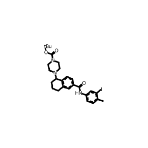 Cc1ccc(NC(=O)c2ccc3c(c2)CCCC3N2CCN(C(=O)OC(C)(C)C)CC2)cc1I